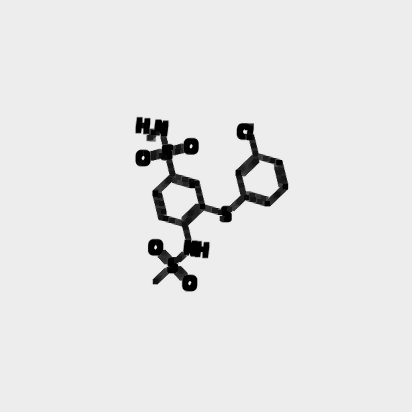 CS(=O)(=O)Nc1ccc(S(N)(=O)=O)cc1Sc1cccc(Cl)c1